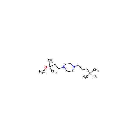 COC(C)(C)CCN1CCN(CCCC(C)(C)C)CC1